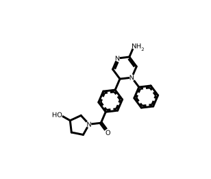 NC1=CN(c2ccccc2)C(c2ccc(C(=O)N3CCC(O)C3)cc2)C=N1